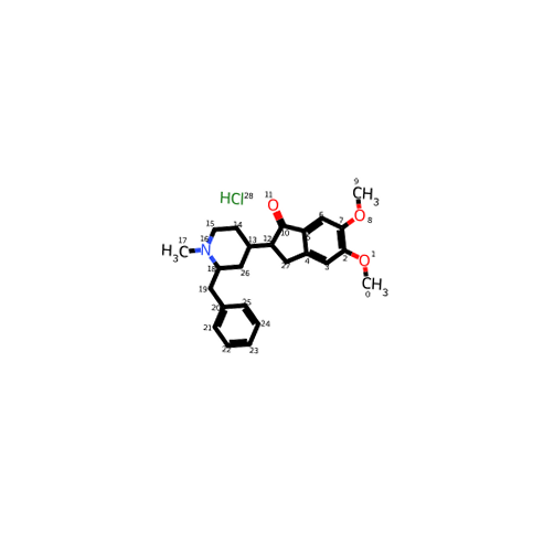 COc1cc2c(cc1OC)C(=O)C(C1CCN(C)C(Cc3ccccc3)C1)C2.Cl